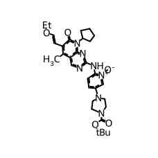 CCO/C=C/c1c(C)c2cnc(Nc3ccc(N4CCN(C(=O)OC(C)(C)C)CC4)c[n+]3[O-])nc2n(C2CCCC2)c1=O